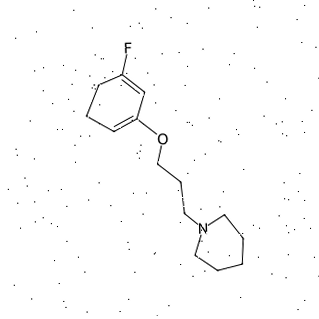 FC1=CC(OCCCN2CCCCC2)=CC[CH]1